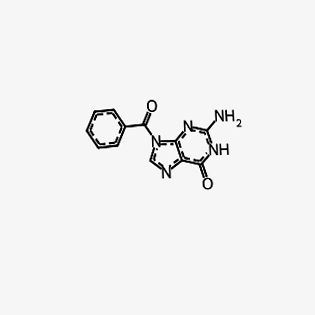 Nc1nc2c(ncn2C(=O)c2ccccc2)c(=O)[nH]1